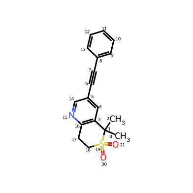 CC1(C)c2cc(C#Cc3ccccc3)cnc2CCS1(=O)=O